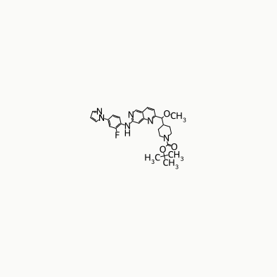 COC(c1ccc2cnc(Nc3ccc(-n4cccn4)cc3F)cc2n1)C1CCN(C(=O)OC(C)(C)C)CC1